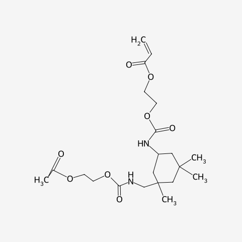 C=CC(=O)OCCOC(=O)NC1CC(C)(C)CC(C)(CNC(=O)OCCOC(C)=O)C1